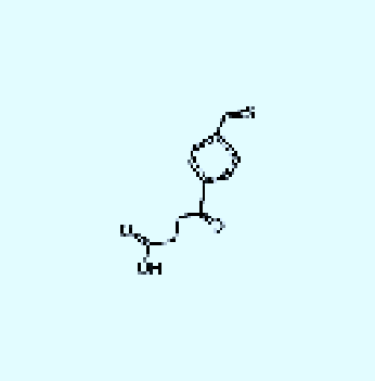 O=C(O)CCC(=O)c1ccc(C=S)cc1